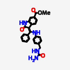 COC(=O)c1ccc2c(c1)NC(=O)C2=C(Nc1ccc(CNC(N)=O)cc1)c1ccccc1